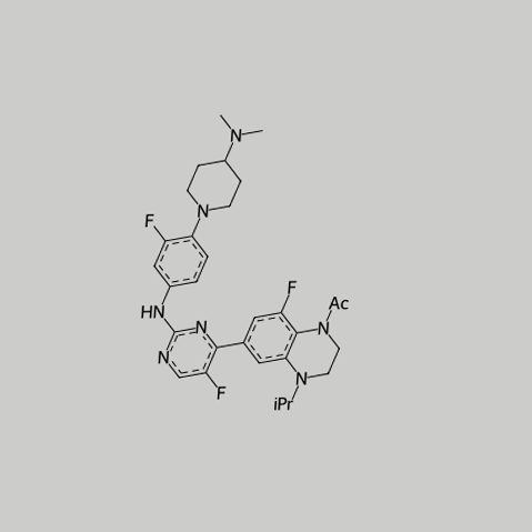 CC(=O)N1CCN(C(C)C)c2cc(-c3nc(Nc4ccc(N5CCC(N(C)C)CC5)c(F)c4)ncc3F)cc(F)c21